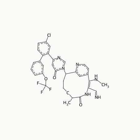 CN/C1=C(\C=N)NC(=O)C(C)CCCC(n2cnc(-c3cc(Cl)ccc3-c3cccc(OC(F)(F)F)c3)cc2=O)c2cc1ccn2